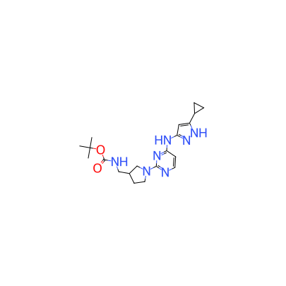 CC(C)(C)OC(=O)NCC1CCN(c2nccc(Nc3cc(C4CC4)[nH]n3)n2)C1